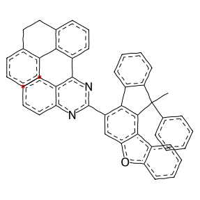 CC1(c2ccccc2)c2ccccc2-c2c(-c3nc(-c4cccc5c4-c4ccccc4CC5)c4ccccc4n3)cc3oc4ccccc4c3c21